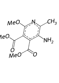 COC(=O)c1c(OC)nc(C)c(N)c1C(=O)OC